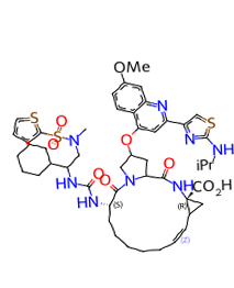 COc1ccc2c(OC3CC4C(=O)N[C@]5(C(=O)O)CC5/C=C\CCCCC[C@H](NC(=O)NC(CN(C)S(=O)(=O)c5cccs5)C5CCCCC5)C(=O)N4C3)cc(-c3csc(NC(C)C)n3)nc2c1